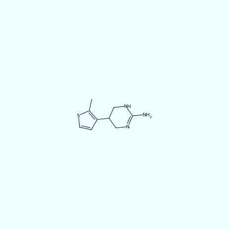 Cc1sccc1C1CN=C(N)NC1